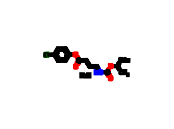 CC(=O)OC(C)OC(=O)NCCCC(=O)Oc1ccc(Cl)cc1.[NaH]